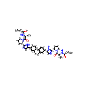 COC(=O)N[C@H](C(=O)N1CCC[C@H]1c1ncc(-c2ccc3c(c2)CCc2cc(-c4cnc([C@@H]5CCCN5C(=O)[C@@H](NC(=O)OC)C(C)C)[nH]4)ccc2-3)[nH]1)C(C)C